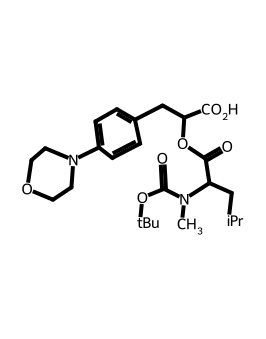 CC(C)CC(C(=O)OC(Cc1ccc(N2CCOCC2)cc1)C(=O)O)N(C)C(=O)OC(C)(C)C